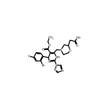 CCOC(=O)C1=C(CN2CCOC(CC(=O)O)C2)NC(n2cncn2)=NC1c1ccc(F)cc1Br